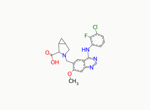 COc1cc2ncnc(Nc3cccc(Cl)c3F)c2cc1CN1CC2CC2C1C(=O)O